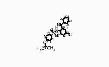 CC(C)Oc1ccc(S(=O)(=O)Nc2ccc(Cl)cc2C(=O)c2ccccc2)cn1